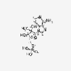 C[C@]1(O)C(O)[C@@H](COP(=O)(O)O)O[C@H]1n1cnc2c(N)ncnc21